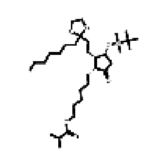 CCCCCCCC1(CC[C@H]2[C@H](O[Si](C)(C)C(C)(C)C)CC(=O)[C@@H]2CCCCCCOC(=O)C(C)C)OCCO1